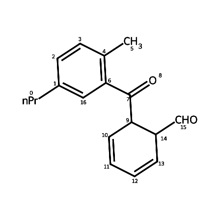 CCCc1ccc(C)c(C(=O)C2C=CC=CC2C=O)c1